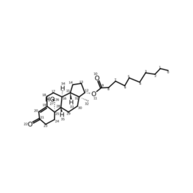 CCCCCCCCCC(=O)O[C@H]1CC[C@H]2[C@@H]3CCC4=CC(=O)CC[C@]4(CO)[C@H]3CC[C@]12C